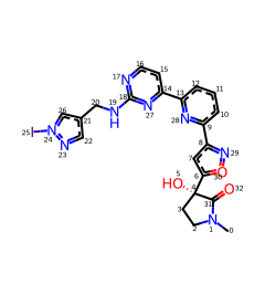 CN1CC[C@@](O)(c2cc(-c3cccc(-c4ccnc(NCc5cnn(I)c5)n4)n3)no2)C1=O